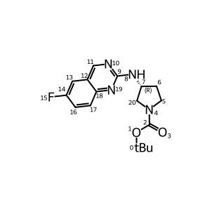 CC(C)(C)OC(=O)N1CC[C@@H](Nc2ncc3cc(F)ccc3n2)C1